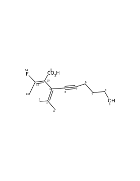 CC(C)=C(C#CCCCO)/C(C(=O)O)=C(\C)F